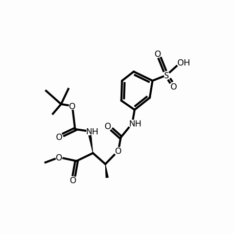 COC(=O)[C@@H](NC(=O)OC(C)(C)C)[C@H](C)OC(=O)Nc1cccc(S(=O)(=O)O)c1